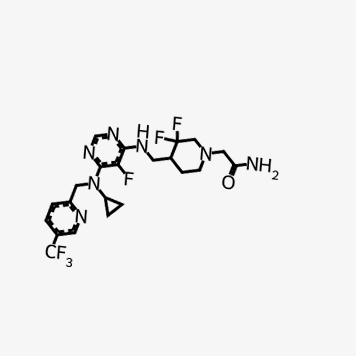 NC(=O)CN1CCC(CNc2ncnc(N(Cc3ccc(C(F)(F)F)cn3)C3CC3)c2F)C(F)(F)C1